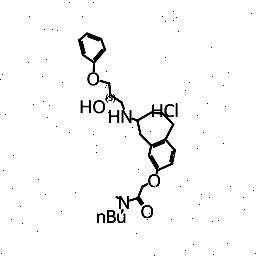 CCCCN(C)C(=O)COc1ccc2c(c1)CC(NC[C@H](O)COc1ccccc1)CCC2.Cl